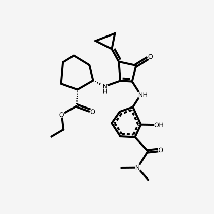 CCOC(=O)[C@@H]1CCCC[C@@H]1NC1=C(Nc2cccc(C(=O)N(C)C)c2O)C(=O)C1=C1CC1